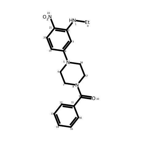 CCNc1cc(N2CCN(C(=O)c3ccccc3)CC2)ccc1[N+](=O)[O-]